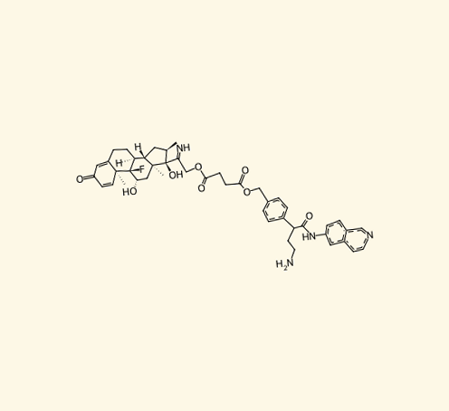 C[C@@H]1C[C@H]2[C@@H]3CCC4=CC(=O)C=C[C@]4(C)[C@@]3(F)[C@@H](O)C[C@]2(C)[C@@]1(O)C(=N)COC(=O)CCC(=O)OCc1ccc(C(CCN)C(=O)Nc2ccc3cnccc3c2)cc1